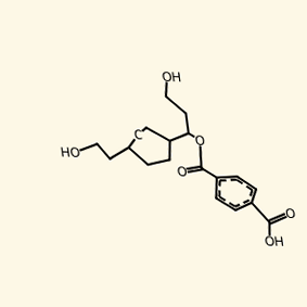 O=C(O)c1ccc(C(=O)OC(CCO)C2CCC(CCO)CC2)cc1